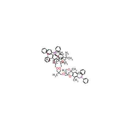 COC(C)(C)c1cc(C)c(CP(c2ccccc2)c2ccccc2)c(C)c1OCCOCC(C)(COCCOc1c(C(C)(C)C)cc(C)c(CP(c2ccccc2)c2ccccc2)c1C)COCCOc1c(C(C)(C)C)cc(C)c(CP(c2ccccc2)c2ccccc2)c1C